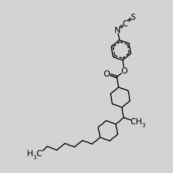 CCCCCCCC1CCC(C(C)C2CCC(C(=O)Oc3ccc(N=C=S)cc3)CC2)CC1